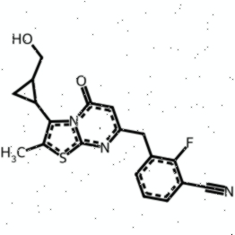 Cc1sc2nc(Cc3cccc(C#N)c3F)cc(=O)n2c1C1CC1CO